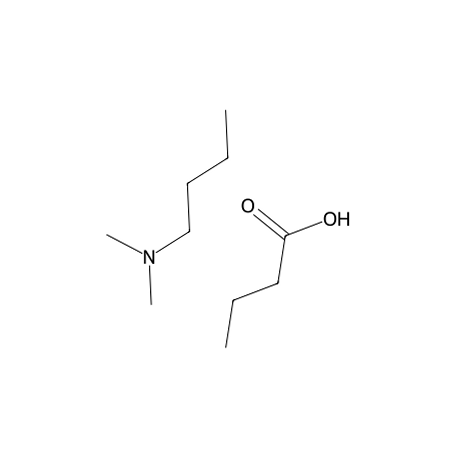 CCCC(=O)O.CCCCN(C)C